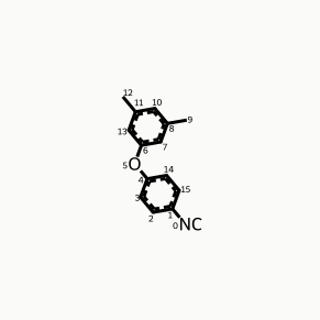 [C-]#[N+]c1ccc(Oc2cc(C)cc(C)c2)cc1